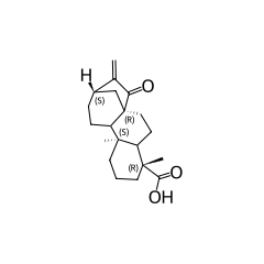 C=C1C(=O)[C@@]23CCC4[C@@](C)(CCC[C@@]4(C)C(=O)O)C2CC[C@H]1C3